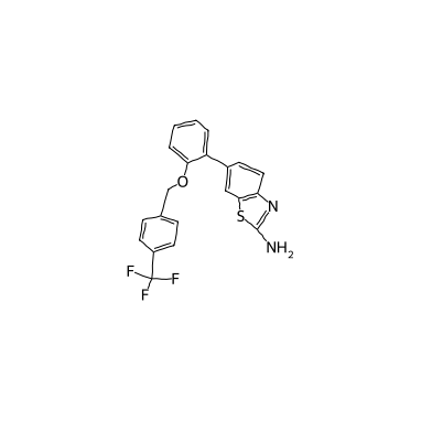 Nc1nc2ccc(-c3ccccc3OCc3ccc(C(F)(F)F)cc3)cc2s1